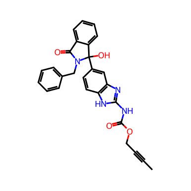 CC#CCOC(=O)Nc1nc2cc(C3(O)c4ccccc4C(=O)N3Cc3ccccc3)ccc2[nH]1